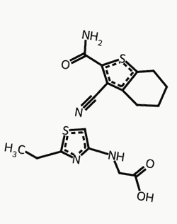 CCc1nc(NCC(=O)O)cs1.N#Cc1c(C(N)=O)sc2c1CCCC2